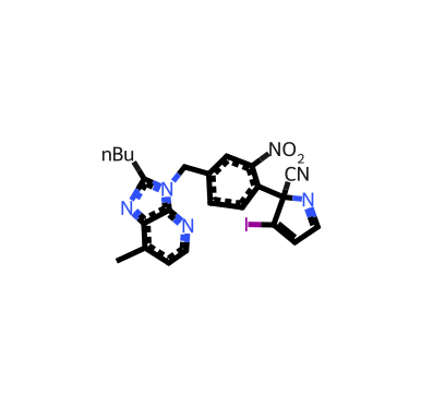 CCCCc1nc2c(C)ccnc2n1Cc1ccc(C2(C#N)N=CC=C2I)c([N+](=O)[O-])c1